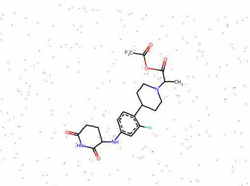 CC(C(=O)OC(=O)C(F)(F)F)N1CCC(c2ccc(NC3CCC(=O)NC3=O)cc2F)CC1